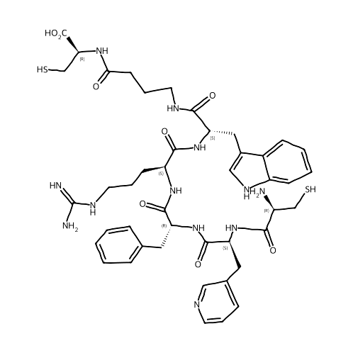 N=C(N)NCCC[C@H](NC(=O)[C@@H](Cc1ccccc1)NC(=O)[C@H](Cc1cccnc1)NC(=O)[C@@H](N)CS)C(=O)N[C@@H](Cc1c[nH]c2ccccc12)C(=O)NCCCC(=O)N[C@@H](CS)C(=O)O